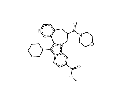 COC(=O)c1ccc2c(C3CCCCC3)c3n(c2c1)CC(C(=O)N1CCOCC1)Cc1ccncc1-3